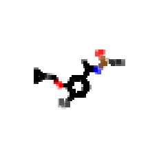 CCCC[S@+]([O-])/N=C(\C)c1ccc(C(F)(F)F)c(OCC2CC2)c1